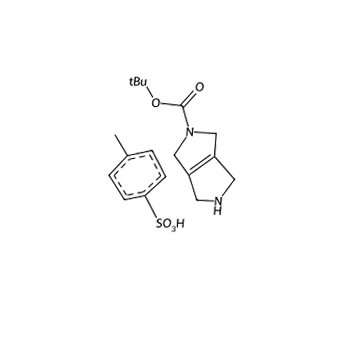 CC(C)(C)OC(=O)N1CC2=C(CNC2)C1.Cc1ccc(S(=O)(=O)O)cc1